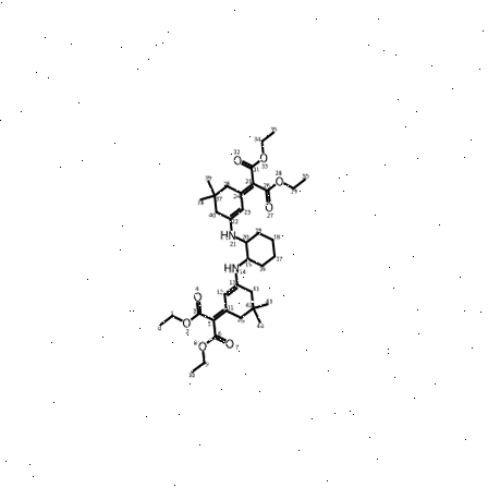 CCOC(=O)C(C(=O)OCC)=C1C=C(NC2CCCCC2NC2=CC(=C(C(=O)OCC)C(=O)OCC)CC(C)(C)C2)CC(C)(C)C1